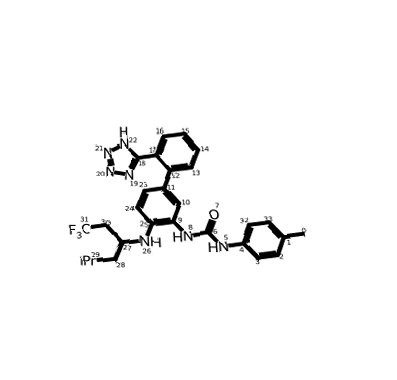 Cc1ccc(NC(=O)Nc2cc(-c3ccccc3-c3nnn[nH]3)ccc2NC(CC(C)C)CC(F)(F)F)cc1